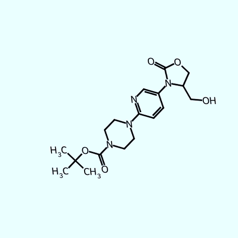 CC(C)(C)OC(=O)N1CCN(c2ccc(N3C(=O)OCC3CO)cn2)CC1